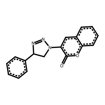 O=c1oc2ccccc2cc1N1CC(c2ccccc2)N=N1